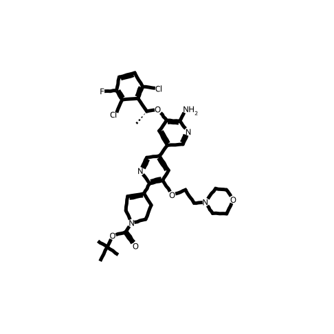 C[C@@H](Oc1cc(-c2cnc(C3=CCN(C(=O)OC(C)(C)C)CC3)c(OCCN3CCOCC3)c2)cnc1N)c1c(Cl)ccc(F)c1Cl